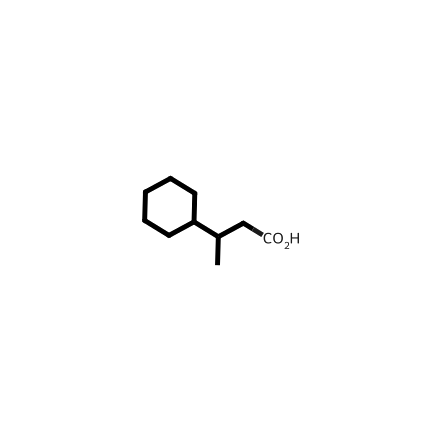 CC(CC(=O)O)C1CCCCC1